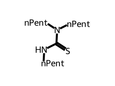 CCCCCNC(=S)N(CCCCC)CCCCC